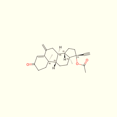 C#C[C@]1(OC(C)=O)CC[C@H]2[C@@H]3CC(=C)C4=CC(=O)CC[C@]4(C)[C@H]3CC[C@@]21C